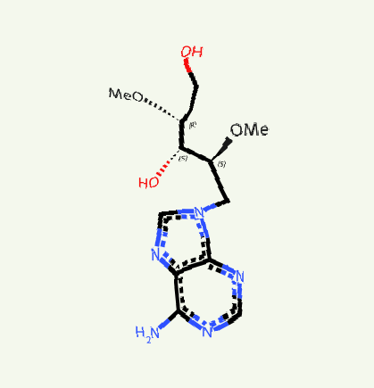 CO[C@@H](Cn1cnc2c(N)ncnc21)[C@H](O)[C@@H](CO)OC